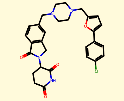 O=C1CCC(N2Cc3cc(CN4CCN(Cc5ccc(-c6ccc(Cl)cc6)o5)CC4)ccc3C2=O)C(=O)N1